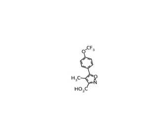 Cc1c(C(=O)O)noc1-c1ccc(OC(F)(F)F)cc1